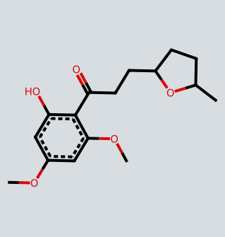 COc1cc(O)c(C(=O)CCC2CCC(C)O2)c(OC)c1